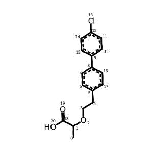 CC(OCCc1ccc(-c2ccc(Cl)cc2)cc1)C(=O)O